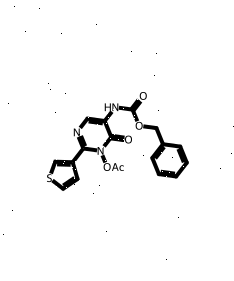 CC(=O)On1c(-c2ccsc2)ncc(NC(=O)OCc2ccccc2)c1=O